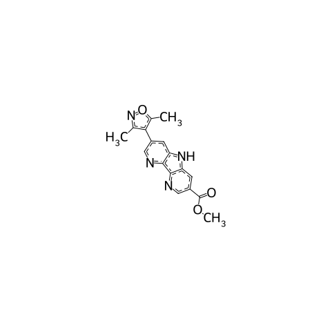 COC(=O)c1cnc2c(c1)[nH]c1cc(-c3c(C)noc3C)cnc12